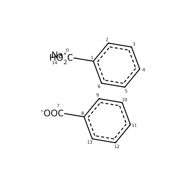 O=C(O)c1ccccc1.O=C([O-])c1ccccc1.[Na+]